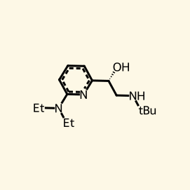 CCN(CC)c1cccc([C@H](O)CNC(C)(C)C)n1